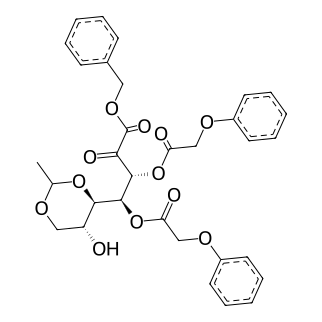 CC1OC[C@@H](O)[C@H]([C@H](OC(=O)COc2ccccc2)[C@@H](OC(=O)COc2ccccc2)C(=O)C(=O)OCc2ccccc2)O1